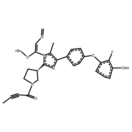 C=N/C=C(/OCCCC)n1c([C@@H]2CCN(C(=O)C#CC)C2)nc(-c2ccc(Oc3cccc(OC)c3F)cc2)c1C